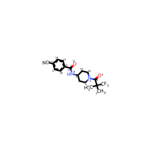 CC(C)(C(=O)N1CCC(NC(=O)c2ccc(C#N)cc2)CC1)C(F)(F)F